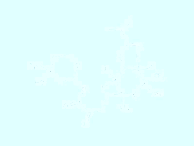 C=C(C)C(=O)OC1C(F)(F)C(O)(C(F)(F)F)OC(CCC(=C)C(=O)OC2CC(O)(C(F)(F)F)OCO2)(C(F)(F)F)C1(F)F